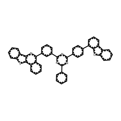 c1ccc(-c2nc(-c3ccc(-c4cccc5c4oc4ccccc45)cc3)nc(-c3cccc(-c4nc5c6ccccc6sc5c5ccccc45)c3)n2)cc1